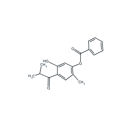 Cc1cc(C(=O)C(C)C)c(O)cc1OC(=O)c1ccccc1